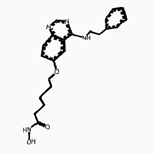 O=C(CCCCCOc1ccc2ncnc(NCCc3ccccc3)c2c1)NO